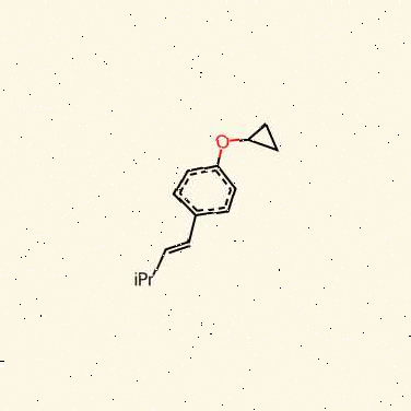 CC(C)/C=C/c1ccc(OC2CC2)cc1